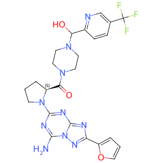 Nc1nc(N2CCC[C@H]2C(=O)N2CCN(C(O)c3ccc(C(F)(F)F)cn3)CC2)nc2nc(-c3ccco3)nn12